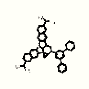 CC(C)c1ccc2cc3c(cc2c1)C1CC(c2cc(-c4ccccc4)cc(C4C=CC=CC4)c2)C2CC24c2cc5cc(C(C)C)ccc5cc2N3C14